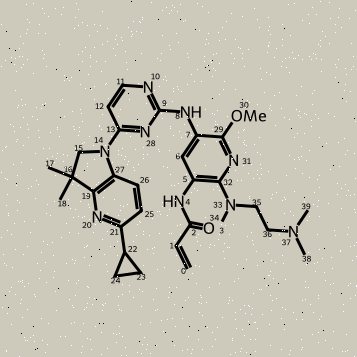 C=CC(=O)Nc1cc(Nc2nccc(N3CC(C)(C)c4nc(C5CC5)ccc43)n2)c(OC)nc1N(C)CCN(C)C